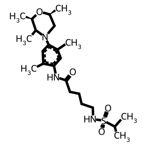 Cc1cc(N2C[C@H](C)O[C@H](C)C2C)c(C)cc1NC(=O)CCCCNS(=O)(=O)C(C)C